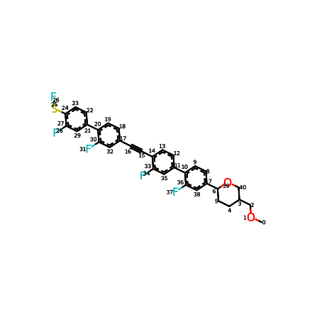 COCC1CCC(c2ccc(-c3ccc(C#Cc4ccc(-c5ccc(SF)c(F)c5)c(F)c4)c(F)c3)c(F)c2)OC1